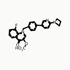 O=C(O)Oc1cn(Cc2ccc(-c3ccc(N4CCC4)nc3)cc2)c2c(F)cccc2c1=O